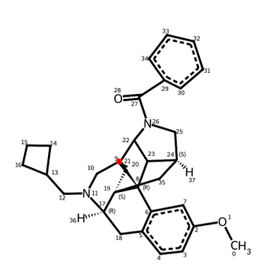 COc1ccc2c(c1)[C@]13CCN(CC4CCC4)[C@H](C2)[C@]12CCC1C3[C@@H](CN1C(=O)c1ccccc1)C2